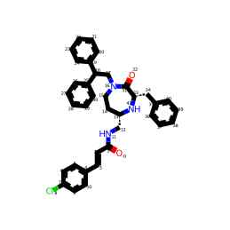 O=C(C=Cc1ccc(Cl)cc1)NC[C@@H]1CCN(CC(c2ccccc2)c2ccccc2)C(=O)[C@H](Cc2ccccc2)N1